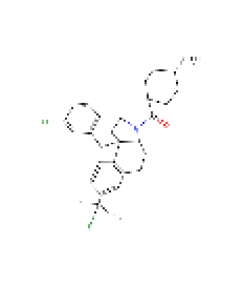 CC(F)(c1ccc2c(c1)CCC1N(C(=O)[C@]3(C)CC[C@@H](C(=O)O)CC3)CCC21Cc1cccc(Cl)c1)C(F)(F)F